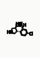 Cl.O=C(O)[C@@H]1CNC[C@H]1c1ccc(Cl)cc1